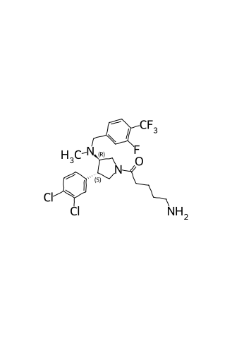 CN(Cc1ccc(C(F)(F)F)c(F)c1)[C@H]1CN(C(=O)CCCCN)C[C@@H]1c1ccc(Cl)c(Cl)c1